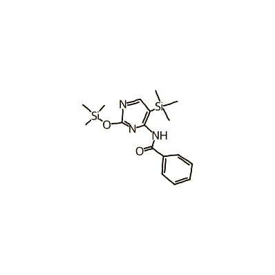 C[Si](C)(C)Oc1ncc([Si](C)(C)C)c(NC(=O)c2ccccc2)n1